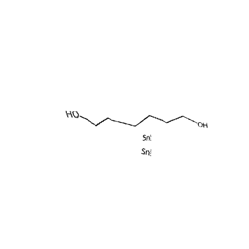 OCCCCCCO.[Sn].[Sn]